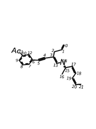 C=CC\C(C#Cc1cccc(C(C)=O)c1)=C/N=C(C)/C=C\C=C/C